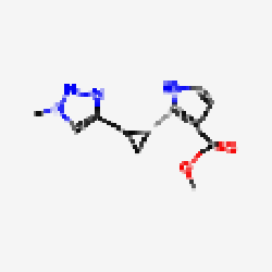 COC(=O)c1cc[nH]c1[C@@H]1CC1c1cn(C)nn1